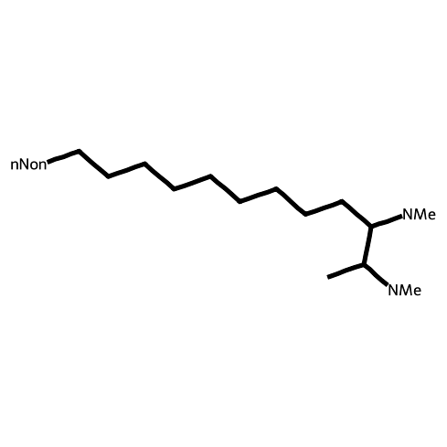 CCCCCCCCCCCCCCCCCCC(NC)C(C)NC